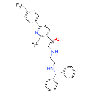 O[C@@H](CNCCNC(c1ccccc1)c1ccccc1)c1ccc(-c2ccc(C(F)(F)F)cc2)nc1C(F)(F)F